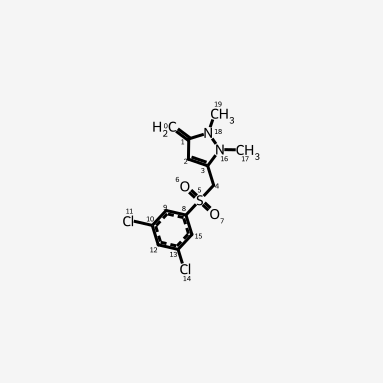 C=C1C=C(CS(=O)(=O)c2cc(Cl)cc(Cl)c2)N(C)N1C